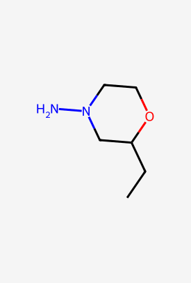 CCC1CN(N)CCO1